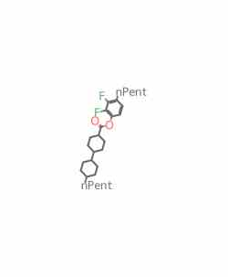 CCCCCc1ccc(OC(=O)C2CCC(C3CCC(CCCCC)CC3)CC2)c(F)c1F